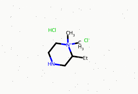 CCC1CNCC[N+]1(C)C.Cl.[Cl-]